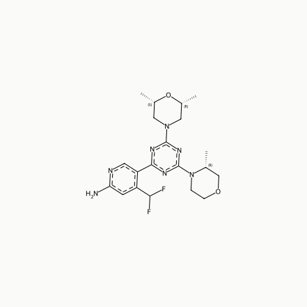 C[C@@H]1CN(c2nc(-c3cnc(N)cc3C(F)F)nc(N3CCOC[C@H]3C)n2)C[C@H](C)O1